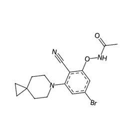 CC(=O)NOc1cc(Br)cc(N2CCC3(CC2)CC3)c1C#N